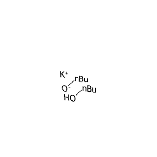 CCCCO.CCCC[O-].[K+]